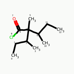 CCC(C)C(C)(C(=O)Cl)C(C)CC